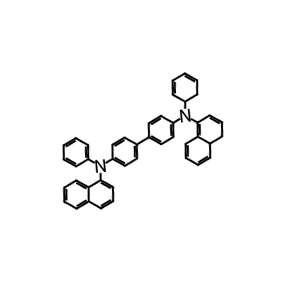 C1=CCC(N(C2=C3C=CC=CC3CC=C2)c2ccc(-c3ccc(N(c4ccccc4)c4cccc5ccccc45)cc3)cc2)C=C1